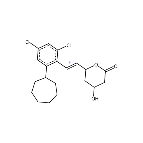 O=C1CC(O)CC(/C=C/c2c(Cl)cc(Cl)cc2C2CCCCCC2)O1